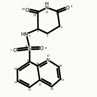 O=C1CCC(NS(=O)(=O)c2cccc3cccnc23)C(=O)N1